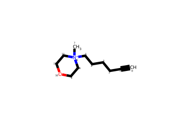 C#CCCCC[N+]1(C)CCOCC1